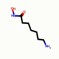 NCCCCCCC(=O)NO